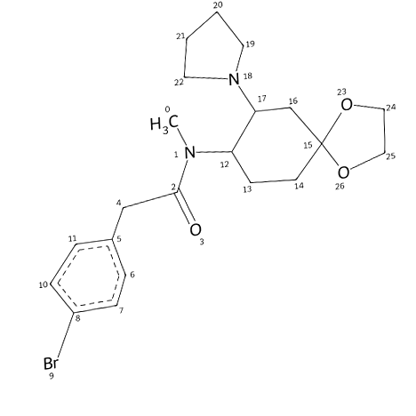 CN(C(=O)Cc1ccc(Br)cc1)C1CCC2(CC1N1CCCC1)OCCO2